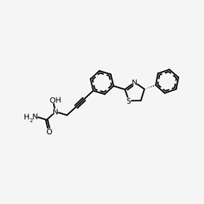 NC(=O)N(O)CC#Cc1cccc(C2=N[C@H](c3ccccc3)CS2)c1